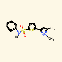 CCN(c1ccccc1)S(=O)(=O)c1ccc(-c2cc(C(F)(F)F)n(C)n2)s1